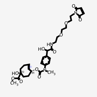 COC(=O)[C@]1(O)CC/C=C/[C@H](OC(=O)N(C)c2ccc(C(O)C(=O)NCCOCCOCCN3C(=O)C=CC3=O)cc2)CC1